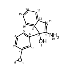 COc1cccc(C2(O)C(N)=Nc3ccccc32)c1